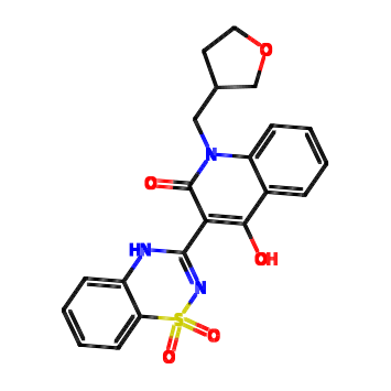 O=c1c(C2=NS(=O)(=O)c3ccccc3N2)c(O)c2ccccc2n1CC1CCOC1